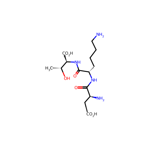 C[C@@H](O)[C@H](NC(=O)[C@H](CCCCN)NC(=O)[C@@H](N)CC(=O)O)C(=O)O